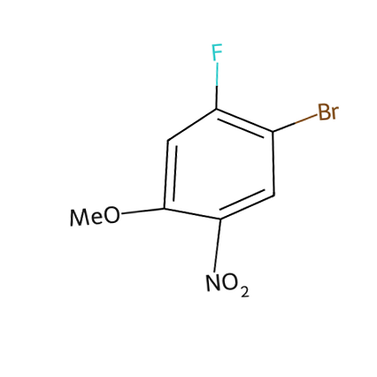 COc1cc(F)c(Br)cc1[N+](=O)[O-]